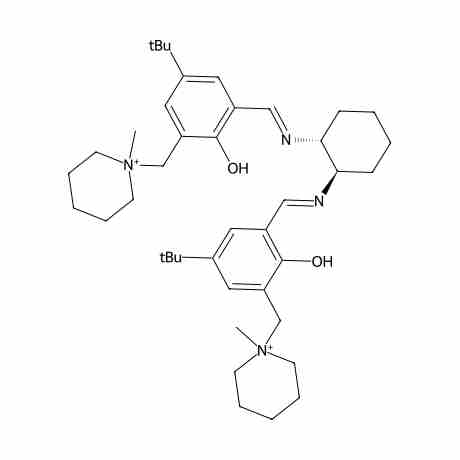 CC(C)(C)c1cc(/C=N/[C@@H]2CCCC[C@H]2/N=C/c2cc(C(C)(C)C)cc(C[N+]3(C)CCCCC3)c2O)c(O)c(C[N+]2(C)CCCCC2)c1